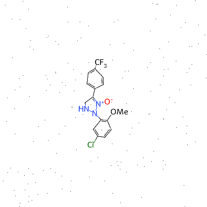 COc1ccc(Cl)cc1N1NCC(c2ccc(C(F)(F)F)cc2)=[N+]1[O-]